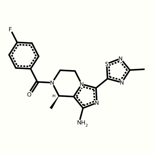 Cc1nsc(-c2nc(N)c3n2CCN(C(=O)c2ccc(F)cc2)[C@@H]3C)n1